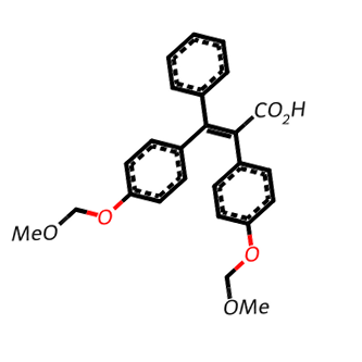 COCOc1ccc(C(C(=O)O)=C(c2ccccc2)c2ccc(OCOC)cc2)cc1